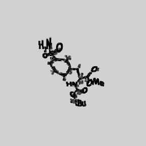 COC(=O)[C@H](Cc1cccc(S(N)(=O)=O)c1)NC(=O)OC(C)(C)C